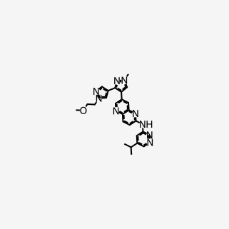 COCCn1cc(-c2nn(C)cc2-c2cnc3ccc(Nc4cc(C(C)C)cnn4)nc3c2)cn1